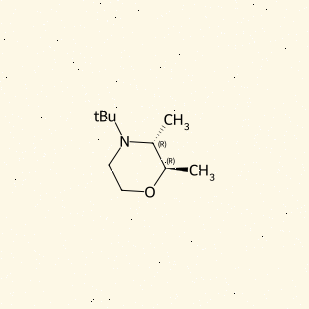 C[C@@H]1[C@@H](C)OCCN1C(C)(C)C